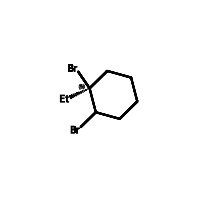 CC[C@]1(Br)CCCCC1Br